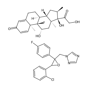 C[C@@H]1C[C@H]2[C@@H]3CCC4=CC(=O)C=C[C@]4(C)[C@@]3(F)[C@@H](O)C[C@]2(C)[C@@]1(O)C(=O)CO.Fc1ccc(C2(Cn3cncn3)OC2c2ccccc2Cl)cc1